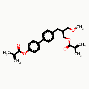 C=C(C)C(=O)OCC(COC)Cc1ccc(-c2ccc(OC(=O)C(=C)C)cc2)cc1